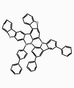 c1ccc(-c2ccc(N3B4c5c(cc6oc7ccccc7c6c5-c5cc6c(cc53)sc3ccccc36)-n3c5ccc(-c6ccccc6)cc5c5cc(-c6ccccc6)cc4c53)cc2)cc1